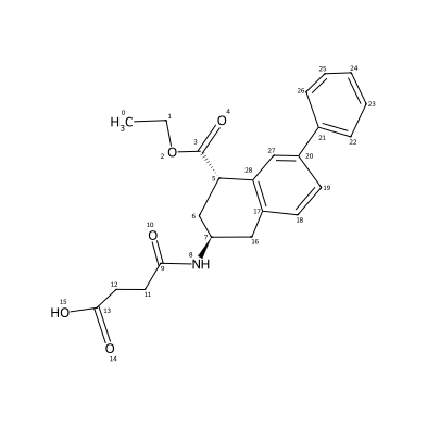 CCOC(=O)[C@H]1C[C@H](NC(=O)CCC(=O)O)Cc2ccc(-c3ccccc3)cc21